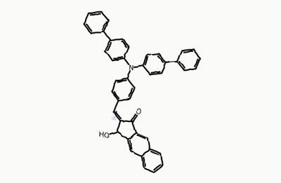 O=C1/C(=C\c2ccc(N(c3ccc(-c4ccccc4)cc3)c3ccc(-c4ccccc4)cc3)cc2)C(O)c2cc3ccccc3cc21